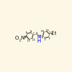 CCc1ccc(NCc2ccc([N+](=O)[O-])cc2)cc1